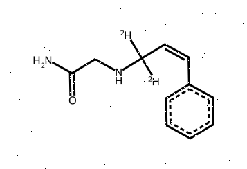 [2H]C([2H])(/C=C\c1ccccc1)NCC(N)=O